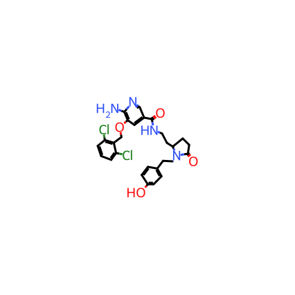 Nc1ncc(C(=O)NCCC2CCC(=O)N2CCc2ccc(O)cc2)cc1OCc1c(Cl)cccc1Cl